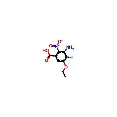 CCOc1cc(C(=O)O)c([N+](=O)[O-])c(N)c1F